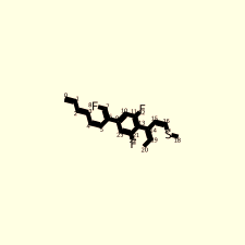 C=C/C=C/C=C\C(=C/F)c1cc(F)c(C(/C=C\SC)=C\C)c(F)c1